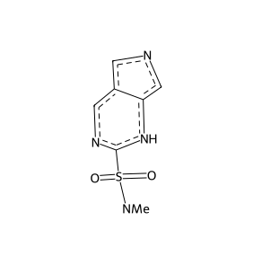 CNS(=O)(=O)c1ncc2cncc-2[nH]1